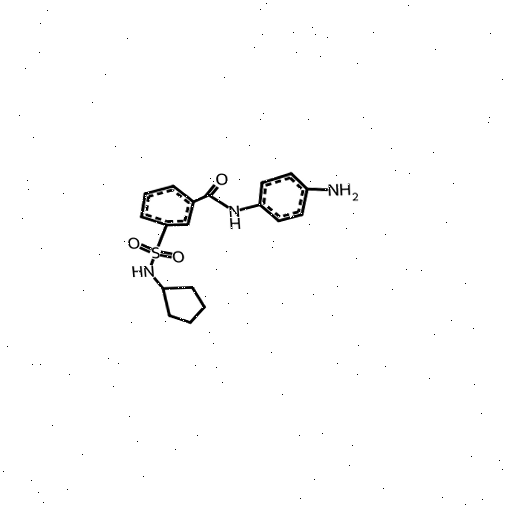 Nc1ccc(NC(=O)c2cccc(S(=O)(=O)NC3CCCC3)c2)cc1